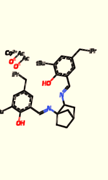 CC(=O)[O-].CC(=O)[O-].CC(C)Cc1cc(C=NC2CC3CCC2(N=Cc2cc(CC(C)C)cc(C(C)(C)C)c2O)C3)c(O)c(C(C)(C)C)c1.[Co+2]